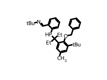 CCC(CC)(Pc1ccccc1/C=N/C(C)(C)C)c1cc(C)cc(C(C)(C)C)c1OCc1ccccc1